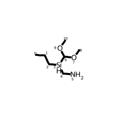 CCC[SiH](CN)C(OC)OC